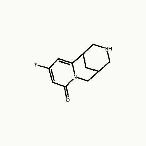 O=c1cc(F)cc2n1CC1CNCC2C1